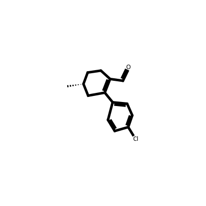 C[C@@H]1CCC(C=O)=C(c2ccc(Cl)cc2)C1